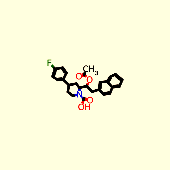 CC(=O)OC(Cc1ccc2ccccc2c1)C1CC(c2ccc(F)cc2)CCN1C(=O)O